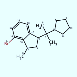 CC1CC(C(C)(C)C2CCCC2)c2cccc(Br)c21